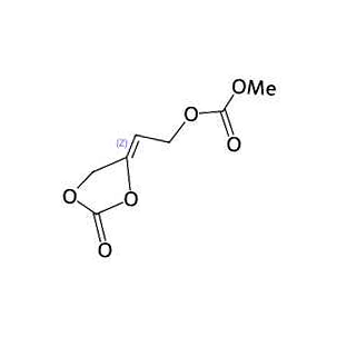 COC(=O)OC/C=C1/COC(=O)O1